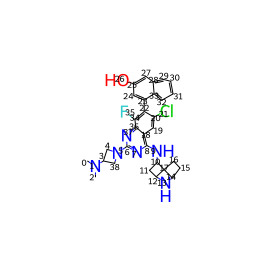 CN(C)C1CN(c2nc(NC3CC4NC5CCC354)c3cc(Cl)c(-c4cc(O)cc5ccccc45)c(F)c3n2)C1